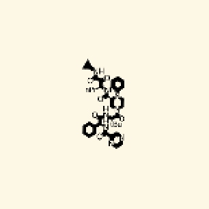 CCC[C@H](NC(=O)[C@@H]1CN(C(=O)[C@@H](NC(=O)[C@@H](NC(=O)c2cnccn2)C2CCCCC2)C(C)(C)C)CCN1c1ccccc1)C(=O)C(=O)NC1CC1